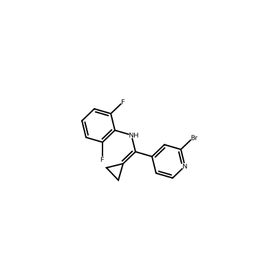 Fc1cccc(F)c1NC(=C1CC1)c1ccnc(Br)c1